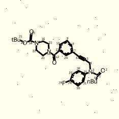 CCCCC(=O)N(CC#Cc1cccc(C(=O)N2CCN(C(=O)OC(C)(C)C)CC2)c1)c1ccc(F)cc1